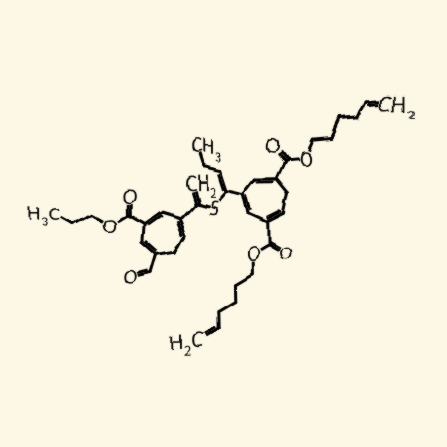 C=CCCCCOC(=O)C1=CCC(C(=O)OCCCCC=C)=CC(C(=CCC)SC(=C)C2=CCC(C=O)=CC(C(=O)OCCC)=C2)=C1